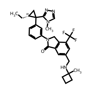 CC[C@@H]1CC1(c1cccc(N2Cc3c(cc(CNC4(C)CCC4)cc3C(F)(F)F)C2=O)c1)c1nncn1C